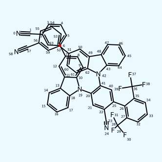 N#Cc1cccc(-c2ccc3c(c2)c2ccccc2n3-c2cc(C#N)c(-c3c(C(F)(F)F)cccc3C(F)(F)F)cc2-n2c3ccccc3c3cc(-c4cccc(C#N)c4)ccc32)c1